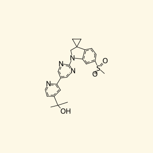 CC(C)(O)c1ccnc(-c2cnc(N3CC4(CC4)c4ccc(S(C)(=O)=O)cc43)nc2)c1